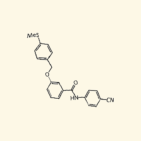 CSc1ccc(COc2cccc(C(=O)Nc3ccc(C#N)cc3)c2)cc1